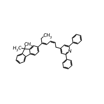 CC/C(=C\C=C/Cc1cc(-c2ccccc2)nc(-c2ccccc2)c1)c1ccc2c(c1)C(C)(C)c1ccccc1-2